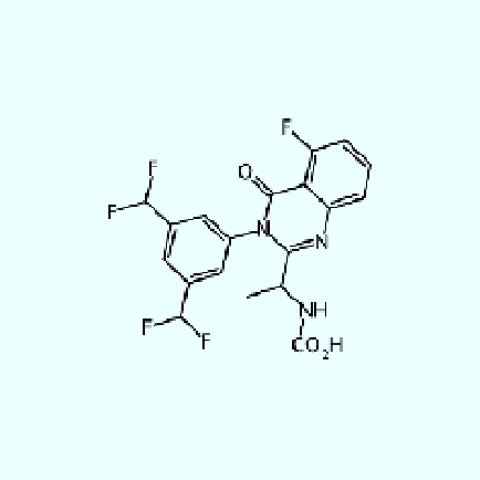 CC(NC(=O)O)c1nc2cccc(F)c2c(=O)n1-c1cc(C(F)F)cc(C(F)F)c1